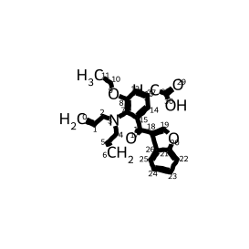 C=CCN(CC=C)c1c(OCC)cccc1C(=O)c1coc2ccccc12.CC(=O)O